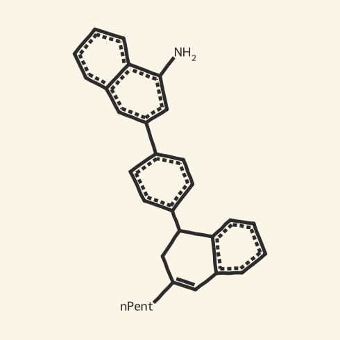 CCCCCC1=Cc2ccccc2C(c2ccc(-c3cc(N)c4ccccc4c3)cc2)C1